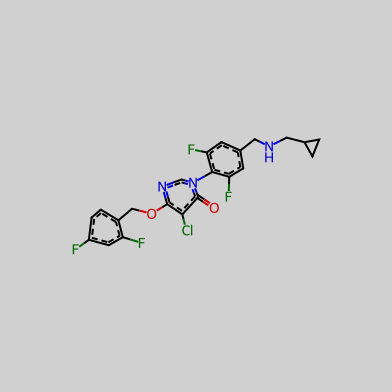 O=c1c(Cl)c(OCc2ccc(F)cc2F)ncn1-c1c(F)cc(CNCC2CC2)cc1F